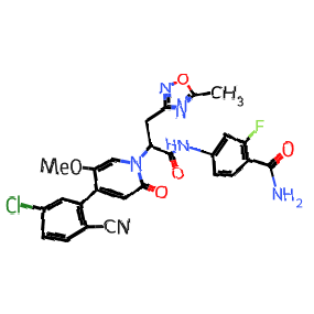 COc1cn(C(Cc2noc(C)n2)C(=O)Nc2ccc(C(N)=O)c(F)c2)c(=O)cc1-c1cc(Cl)ccc1C#N